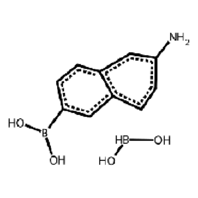 Nc1ccc2cc(B(O)O)ccc2c1.OBO